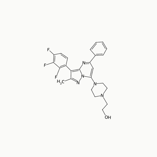 Cc1nn2c(N3CCN(CCO)CC3)cc(-c3ccccc3)nc2c1-c1ccc(F)c(F)c1F